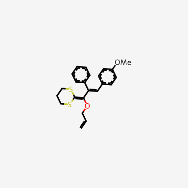 C=CCOC(C(=Cc1ccc(OC)cc1)c1ccccc1)=C1SCCCS1